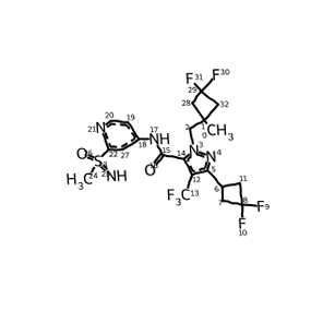 CC1(Cn2nc(C3CC(F)(F)C3)c(C(F)(F)F)c2C(=O)Nc2ccnc(S(C)(=N)=O)c2)CC(F)(F)C1